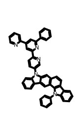 c1ccc(-c2cc(-c3ccccn3)cc(-c3ccc(-n4c5ccccc5c5cc6c(ccc7c8ccccc8n(-c8ccccc8)c67)cc54)cn3)n2)cc1